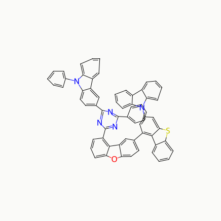 c1ccc(-c2nc(-c3ccc4c(c3)c3ccccc3n4-c3ccccc3)nc(-c3cccc4oc5ccc(-c6cc(-n7c8ccccc8c8ccccc87)cc7sc8ccccc8c67)cc5c34)n2)cc1